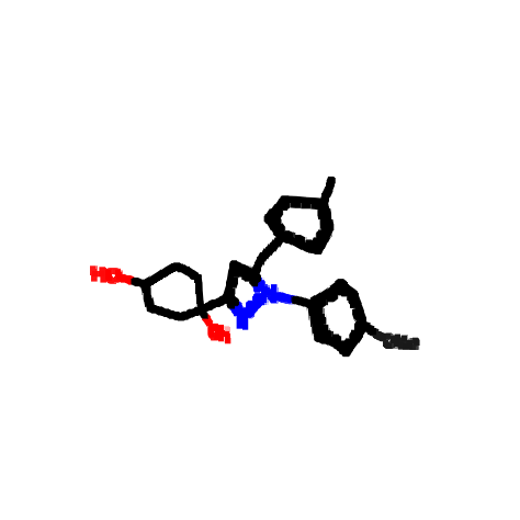 COc1ccc(-n2nc(C3(O)CCC(O)CC3)cc2-c2ccc(C)cc2)cc1